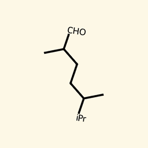 CC(C=O)CCC(C)C(C)C